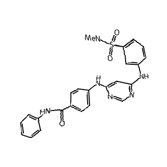 CNS(=O)(=O)c1cccc(Nc2cc(Nc3ccc(C(=O)Nc4ccccc4)cc3)ncn2)c1